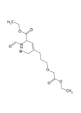 CCOC(=O)COCCCC(=CC(NC=O)C(=O)OCC)CBr